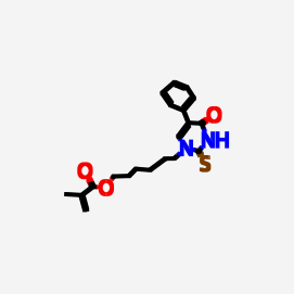 C=C(C)C(=O)OCCCCCCn1cc(-c2ccccc2)c(=O)[nH]c1=S